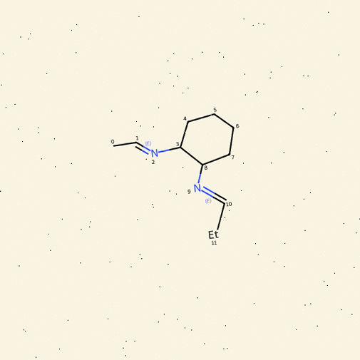 C/C=N/C1CCCCC1/N=C/CC